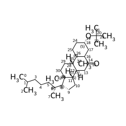 CC(C)CCC[C@@H](C)[C@H]1CC[C@H]2[C@@H]3CC(=O)C4C[C@@H](OC(C)(C)C)CC[C@]4(C)[C@H]3CC[C@]12C